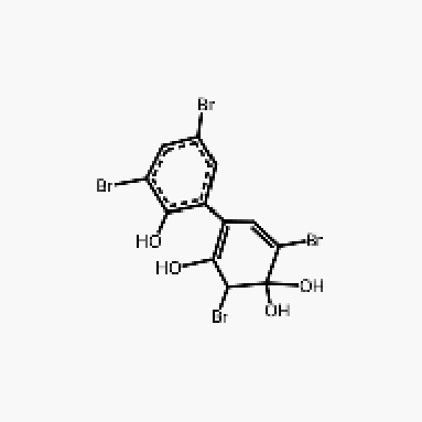 OC1=C(c2cc(Br)cc(Br)c2O)C=C(Br)C(O)(O)C1Br